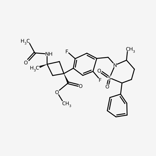 COC(=O)[C@]1(c2cc(F)c(CN3C(C)CCC(c4ccccc4)S3(=O)=O)cc2F)C[C@@](C)(NC(C)=O)C1